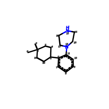 CC1(C)CCC(c2ccccc2N2CCNCC2)CC1